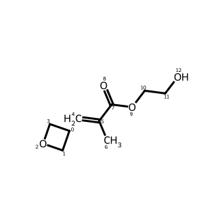 C1COC1.C=C(C)C(=O)OCCO